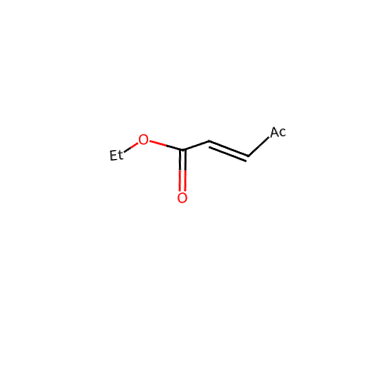 CCOC(=O)/C=C/C(C)=O